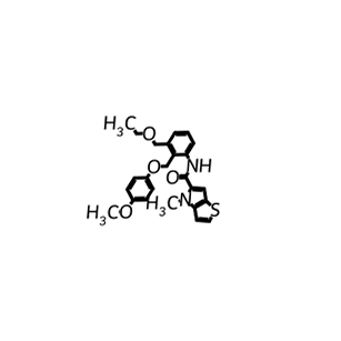 CCOCc1cccc(NC(=O)c2cc3sccc3n2C)c1COc1ccc(OC)cc1